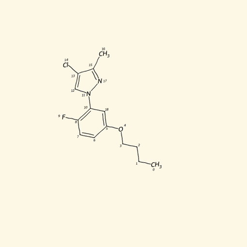 CCCCOc1ccc(F)c(-n2cc(Cl)c(C)n2)c1